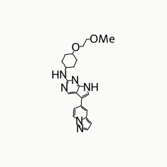 COCCO[C@H]1CC[C@@H](Nc2ncc3c(-c4ccn5nccc5c4)c[nH]c3n2)CC1